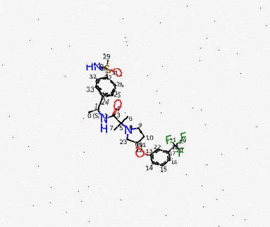 C[C@H](NC(=O)C(C)(C)N1CC[C@@H](Oc2cccc(C(F)(F)F)c2)C1)c1ccc(S(C)(=N)=O)cc1